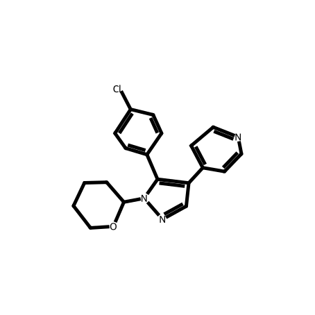 Clc1ccc(-c2c(-c3ccncc3)cnn2C2CCCCO2)cc1